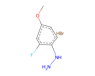 Br.COc1ccc(NN)c(F)c1